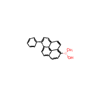 OB(O)c1ccc2ccc3c(-c4ccccc4)ccc4ccc1c2c43